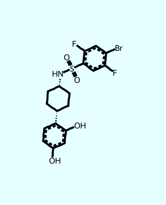 O=S(=O)(N[C@H]1CC[C@@H](c2ccc(O)cc2O)CC1)c1cc(F)c(Br)cc1F